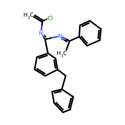 C=C(Cl)/N=C(\N=C(/C)c1ccccc1)c1cccc(Cc2ccccc2)c1